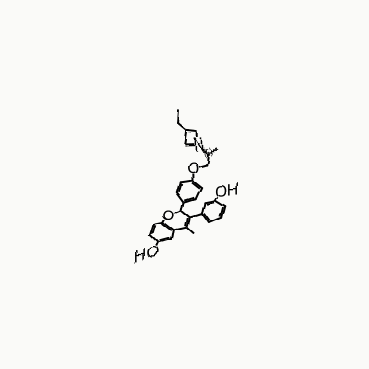 CCC1CN([C@@H](C)COc2ccc(C3Oc4ccc(O)cc4C(C)=C3c3cccc(O)c3)cc2)C1